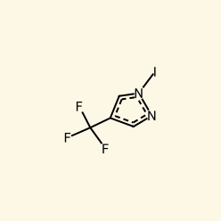 FC(F)(F)c1cnn(I)c1